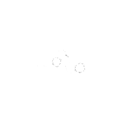 CCCCOc1ccc(C(N)=O)c(C2CCc3ccccc3C2)c1